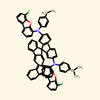 C[SiH2]c1ccc(N(c2ccc3c(c2)C2(c4ccccc4-c4cc5c6ccccc6c6ccccc6c5cc42)c2cc(N(c4ccc([SiH](C)C)cc4)c4cccc5c4oc4c(F)cccc45)ccc2-3)c2cccc3c2oc2c(F)cccc23)cc1